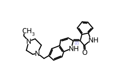 CCN1CCN(Cc2ccc3c(c2)C=C/C(=C2/C(=O)Nc4ccccc42)N3)CC1